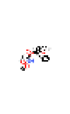 COC(=O)[C@@H](Cc1ccccc1)[C@H](C)OC(=O)[C@H](C)NC(=O)OC(C)(C)C